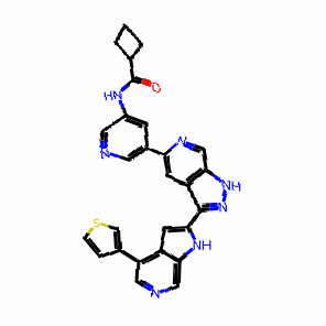 O=C(Nc1cncc(-c2cc3c(-c4cc5c(-c6ccsc6)cncc5[nH]4)n[nH]c3cn2)c1)C1CCC1